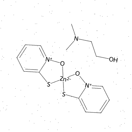 CN(C)CCO.c1cc[n+]2c(c1)[S][Zn-2]1([O]2)[O][n+]2ccccc2[S]1